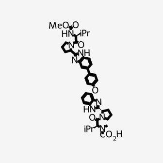 COC(=O)N[C@H](C(=O)N1CCCC1c1nc2cc(-c3ccc(Oc4cccc5[nH]c([C@@H]6CCCN6C(=O)[C@H](C(C)C)N(C)C(=O)O)nc45)cc3)ccc2[nH]1)C(C)C